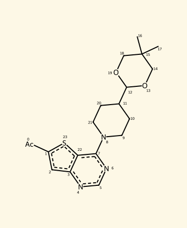 CC(=O)c1cc2ncnc(N3CCC(C4OCC(C)(C)CO4)CC3)c2s1